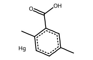 Cc1ccc(C)c(C(=O)O)c1.[Hg]